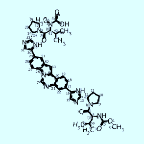 COC(=O)N[C@H](C(=O)N1CCC[C@H]1c1ncc(-c2ccc3c(c2)ncn2c4ccc(-c5cnc([C@@H]6CCCN6C(=O)[C@H](C(C)C)N(C)C(=O)O)[nH]5)cc4cc32)[nH]1)C(C)C